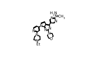 CCN1CCN(c2cc(-n3ccc4c(-c5cnc(N(C)N)nc5)nc(N5CCOCC5)nc43)ccn2)CC1